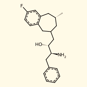 C[C@H]1Cc2cc(F)ccc2CC(C[C@@H](O)[C@@H](N)Cc2ccccc2)C1